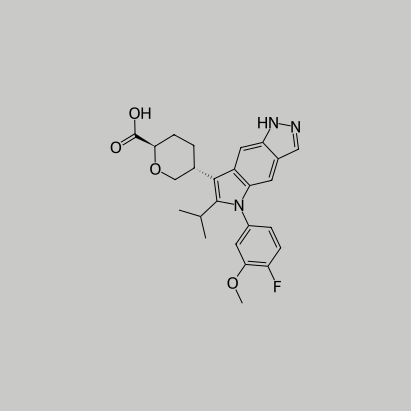 COc1cc(-n2c(C(C)C)c([C@H]3CC[C@H](C(=O)O)OC3)c3cc4[nH]ncc4cc32)ccc1F